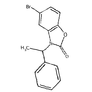 CC(c1ccccc1)n1c(=O)oc2ccc(Br)cc21